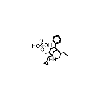 CCC1CNC2(CC3CC3)CC1C(c1ccccc1)CC2C.O=S(=O)(O)O